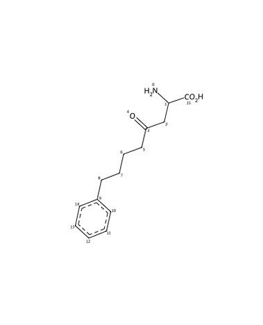 NC(CC(=O)CCCCc1ccccc1)C(=O)O